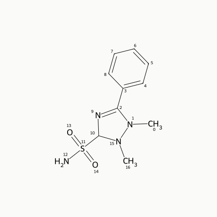 CN1C(c2ccccc2)=NC(S(N)(=O)=O)N1C